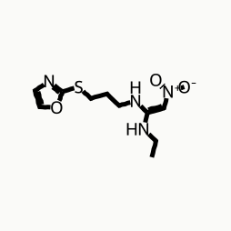 CCN/C(=C/[N+](=O)[O-])NCCCSc1ncco1